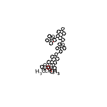 CCc1ccccc1Oc1c(CC)cccc1-c1cccc2c(-c3cccc4c3-c3ccccc3C43CCC(c4cccc(C5(c6ccccc6)c6ccccc6Oc6c(-c7cccc8c(-c9cccc%10c9-c9ccccc9C%109CCCC9)c9cccc(-c%10cccc%11c%10Oc%10ccccc%10C%11(c%10ccccc%10)c%10ccccc%10)c9cc78)cccc65)c4)C3)c3cccc(-c4cccc5c4Oc4ccccc4C5(C)C)c3cc12